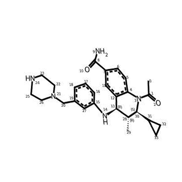 CC(=O)N1c2ccc(C(N)=O)cc2[C@H](Nc2cccc(CN3CCNCC3)c2)[C@@H](C)[C@@H]1C1CC1